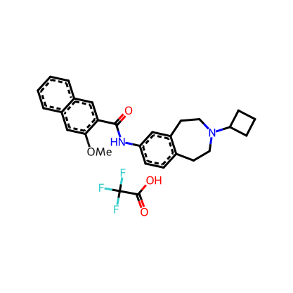 COc1cc2ccccc2cc1C(=O)Nc1ccc2c(c1)CCN(C1CCC1)CC2.O=C(O)C(F)(F)F